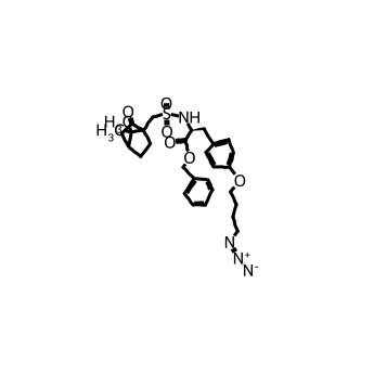 CC1(C)C2CCC1(CS(=O)(=O)N[C@@H](Cc1ccc(OCCCCN=[N+]=[N-])cc1)C(=O)OCc1ccccc1)C(=O)C2